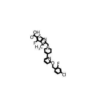 Cn1c(CN2CC=C(c3cccc(OCc4ccc(Cl)cc4F)n3)CC2)nc2sc(C(=O)O)c(F)c21